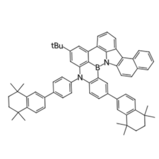 CC(C)(C)c1cc2c3c(c1)N(c1ccc(-c4ccc5c(c4)C(C)(C)CCC5(C)C)cc1)c1ccc(-c4ccc5c(c4)C(C)(C)CCC5(C)C)cc1B3n1c3ccc4ccccc4c3c3cccc-2c31